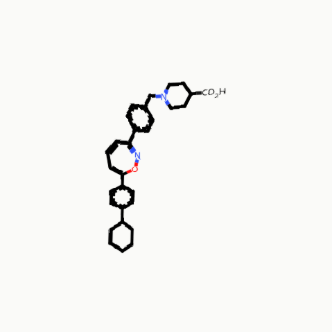 O=C(O)C1CCN(Cc2ccc(C3=NOC(c4ccc(C5CCCCC5)cc4)=CC=C3)cc2)CC1